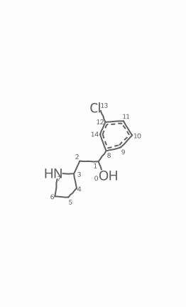 OC(CC1CCCN1)c1cccc(Cl)c1